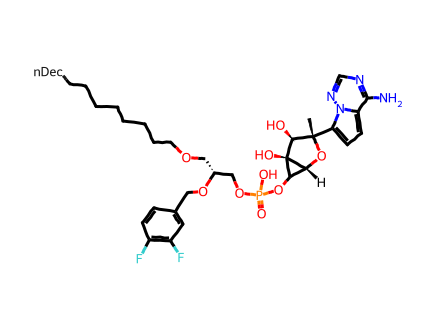 CCCCCCCCCCCCCCCCCCOC[C@H](COP(=O)(O)OC1[C@H]2O[C@@](C)(c3ccc4c(N)ncnn34)[C@H](O)[C@@]12O)OCc1ccc(F)c(F)c1